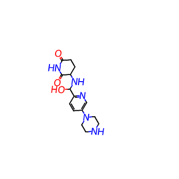 O=C1CCC(NC(O)c2ccc(N3CCNCC3)cn2)C(=O)N1